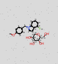 COc1ccc(Cn2cc([C@@H]3O[C@H](CO)[C@@H](O)[C@H](O)[C@H]3O)c3c(F)cccc32)cc1